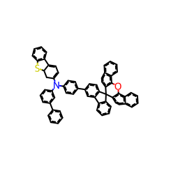 C1=C2c3ccccc3SC2CC(N(c2ccc(-c3ccc4c(c3)-c3ccccc3C43c4ccc5ccccc5c4Oc4c3ccc3ccccc43)cc2)c2cccc(-c3ccccc3)c2)=C1